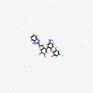 Cc1cc(F)cc(C)c1Oc1ccc(N)cc1-c1cn(C)c(=O)c2sc(-c3nc4ccccc4[nH]3)cc12